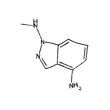 CNn1ncc2c(N)cccc21